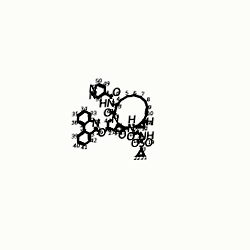 O=C(N[C@H]1CCCCCC=C[C@@H]2C[C@@]2(C(=O)NS(=O)(=O)C2CC2)NC(=O)[C@@H]2C[C@@H](Oc3nc4ccccc4c4ccccc34)CN2C1=O)c1ccnnc1